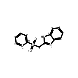 O=S(=O)(Cc1nc2ccccc2[nH]1)c1ccccn1